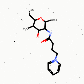 COCC1OC(OC)C(NC(=O)CCC[n+]2ccccc2)C(O)C1C